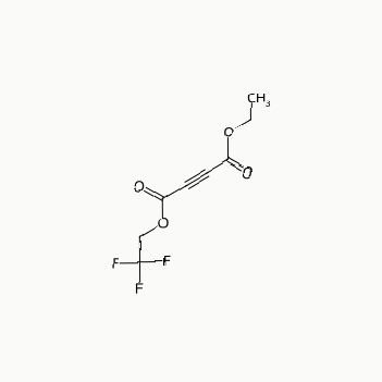 CCOC(=O)C#CC(=O)OCC(F)(F)F